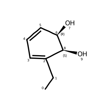 CCC1=CC=C[C@@H](O)[C@H]1O